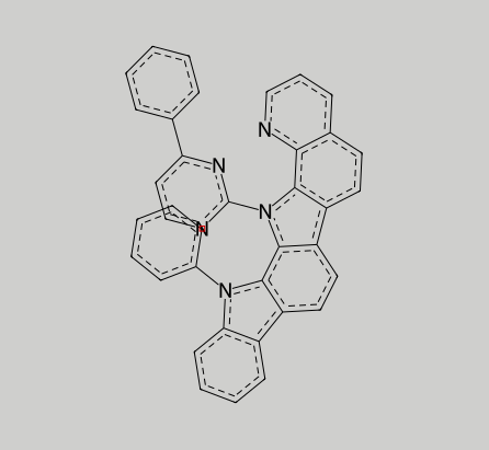 c1ccc(-c2ccnc(-n3c4c(ccc5cccnc54)c4ccc5c6ccccc6n(-c6ccccc6)c5c43)n2)cc1